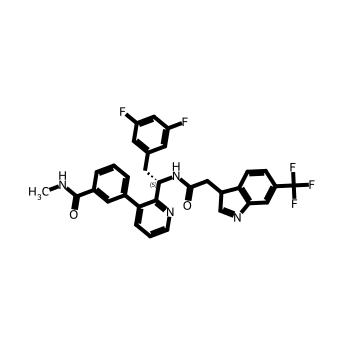 CNC(=O)c1cccc(-c2cccnc2[C@H](Cc2cc(F)cc(F)c2)NC(=O)CC2C=Nc3cc(C(F)(F)F)ccc32)c1